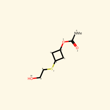 CNC(=O)OC1CC(SCCO)C1